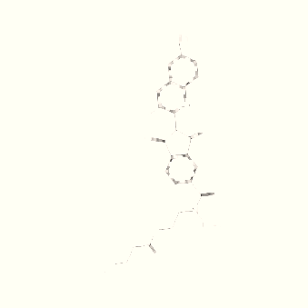 CCCCN(CCOC(=O)CCC(=O)O)C(=O)c1ccc2c(c1)C(=O)C(c1nc3ccc(C(C)C)cc3cc1O)C2=O